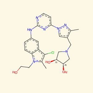 Cc1nn(-c2ccnc(Nc3ccc4c(c3)c(Cl)c(C)n4CCO)n2)cc1CN1C[C@@H](O)[C@@H](O)C1